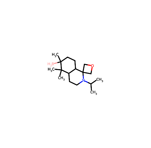 BC1(C)CCC2C(CCN(C(C)C)C23COC3)C1(C)C